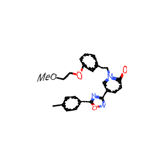 COCCOc1cccc(Cn2cc(-c3noc(-c4ccc(C)cc4)n3)ccc2=O)c1